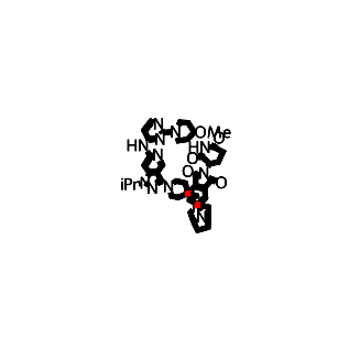 COC1CCN(c2nccc(Nc3cc4c(cn3)c(N3CCC(CN5CC6CCC(C5)N6c5ccc6c(c5)C(=O)N(C5CCC(=O)NC5=O)C6=O)CC3)nn4C(C)C)n2)CC1